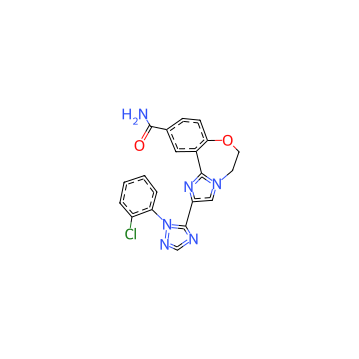 NC(=O)c1ccc2c(c1)-c1nc(-c3ncnn3-c3ccccc3Cl)cn1CCO2